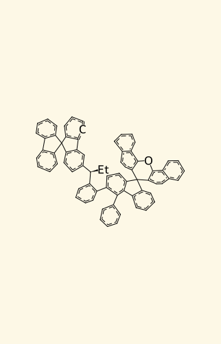 CC[C@H](c1ccc2c(c1)-c1ccccc1C21c2ccccc2-c2ccccc21)c1ccccc1-c1ccc2c(c1-c1ccccc1)-c1ccccc1C21c2ccc3ccccc3c2Oc2c1ccc1ccccc21